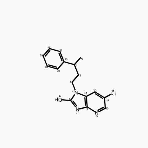 CC(CCn1c(O)nc2ncc(Cl)cc21)c1ccccc1